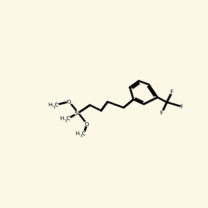 CO[Si](C)(CCCCc1cccc(C(F)(F)F)c1)OC